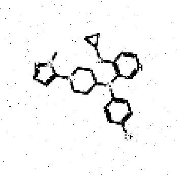 Cn1nccc1N1CCC(N(c2ccc(C(F)(F)F)cc2)c2cnccc2OC2CC2)CC1